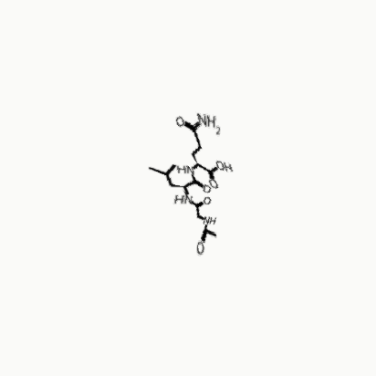 CC(=O)NCC(=O)N[C@@H](CC(C)C)C(=O)N[C@@H](CCC(N)=O)C(=O)O